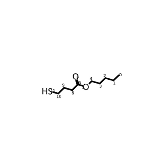 CCCCCOC(=O)CCCS